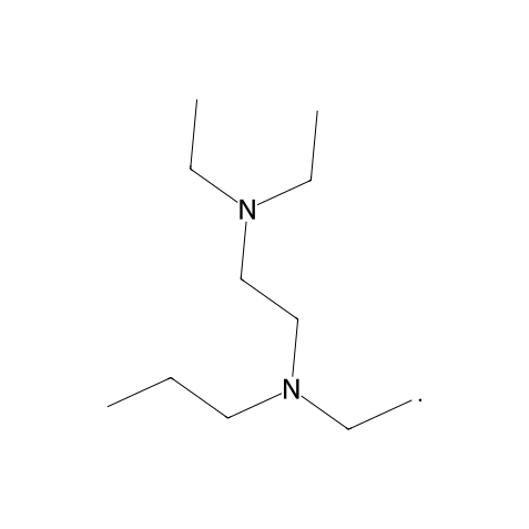 [CH2]CN(CCC)CCN(CC)CC